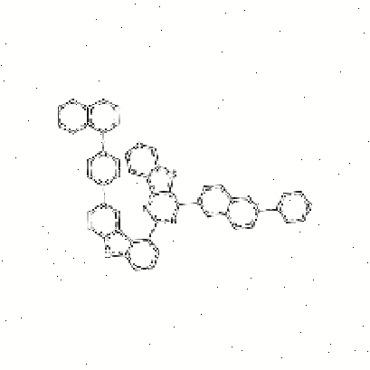 c1ccc(-c2ccc3cc(-c4nc(-c5cccc6oc7ccc(-c8ccc(-c9cccc%10ccccc9%10)cc8)cc7c56)nc5c4sc4ccccc45)ccc3c2)cc1